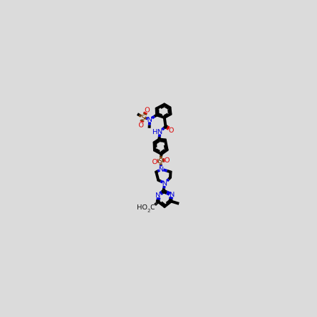 Cc1cc(C(=O)O)nc(N2CCN(S(=O)(=O)c3ccc(NC(=O)c4ccccc4N(C)S(C)(=O)=O)cc3)CC2)n1